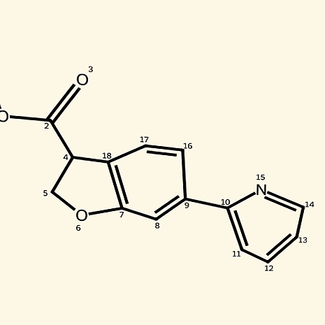 COC(=O)C1COc2cc(-c3ccccn3)ccc21